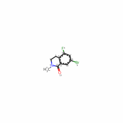 CN1CCc2c(F)cc(Br)cc2C1=O